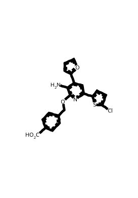 Nc1c(-c2ccco2)cc(-c2ccc(Cl)s2)nc1OCc1ccc(C(=O)O)cc1